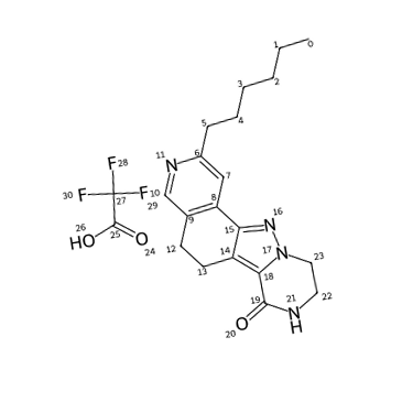 CCCCCCc1cc2c(cn1)CCc1c-2nn2c1C(=O)NCC2.O=C(O)C(F)(F)F